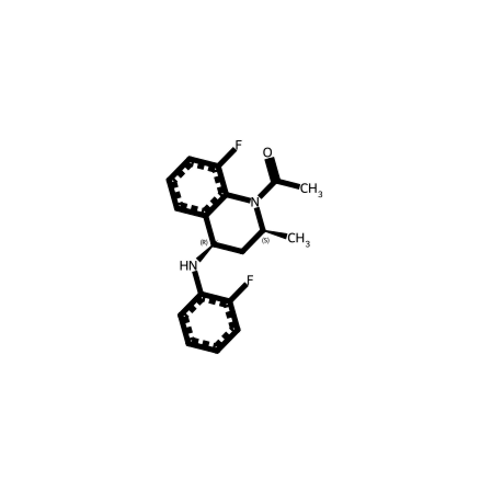 CC(=O)N1c2c(F)cccc2[C@H](Nc2ccccc2F)C[C@@H]1C